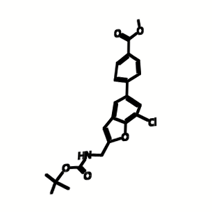 COC(=O)c1ccc(-c2cc(Cl)c3oc(CNC(=O)OC(C)(C)C)cc3c2)cc1